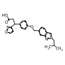 CC(C)Cn1cc2ccc(COc3ccc(C(CC(=O)O)c4ccon4)cc3)cc2n1